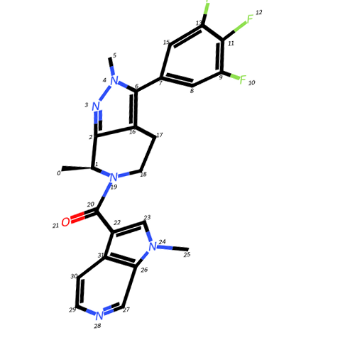 C[C@H]1c2nn(C)c(-c3cc(F)c(F)c(F)c3)c2CCN1C(=O)c1cn(C)c2cnccc12